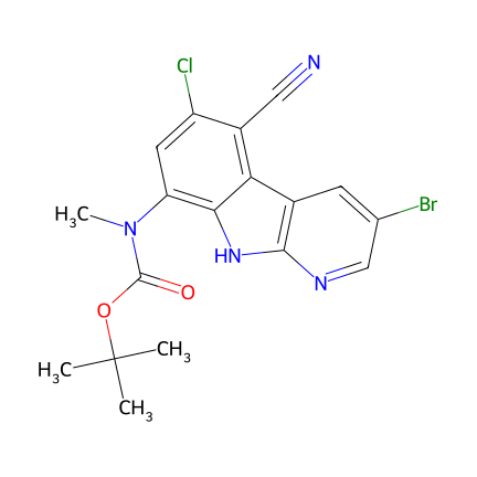 CN(C(=O)OC(C)(C)C)c1cc(Cl)c(C#N)c2c1[nH]c1ncc(Br)cc12